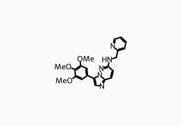 COc1cc(-c2cnc3ccc(NCc4ccccn4)nn23)cc(OC)c1OC